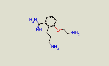 N=C(N)c1cccc(OCCN)c1CCCN